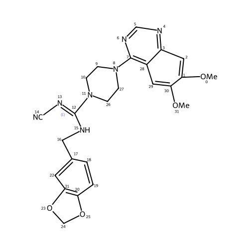 COc1cc2ncnc(N3CCN(/C(=N/C#N)NCc4ccc5c(c4)OCO5)CC3)c2cc1OC